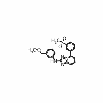 COCc1cccc(Nc2nc3cccc(-c4cccc(S(C)(=O)=O)c4)n3n2)c1